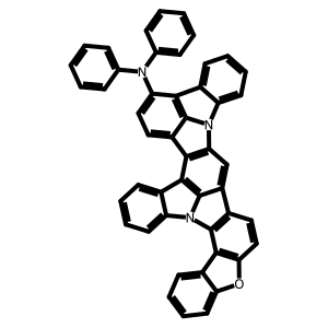 c1ccc(N(c2ccccc2)c2ccc3c4c5c6ccccc6n6c7c(ccc8oc9ccccc9c87)c(cc4n4c7ccccc7c2c34)c56)cc1